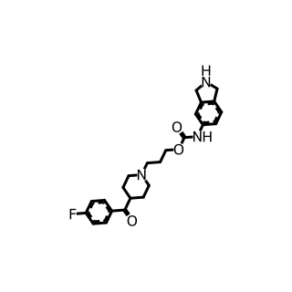 O=C(Nc1ccc2c(c1)CNC2)OCCCN1CCC(C(=O)c2ccc(F)cc2)CC1